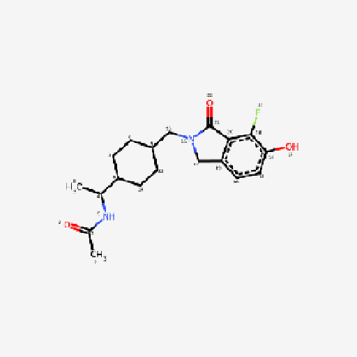 CC(=O)NC(C)C1CCC(CN2Cc3ccc(O)c(F)c3C2=O)CC1